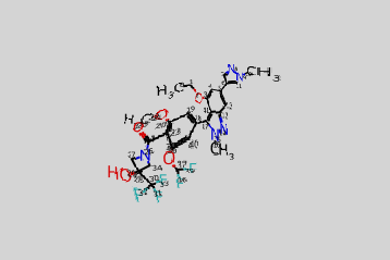 CCOc1cc(-c2cnn(C)c2)cc2nn(C)c(-c3cc(OC)c(C(=O)N4CC(O)(C(F)(F)F)C4)c(OC(F)F)c3)c12